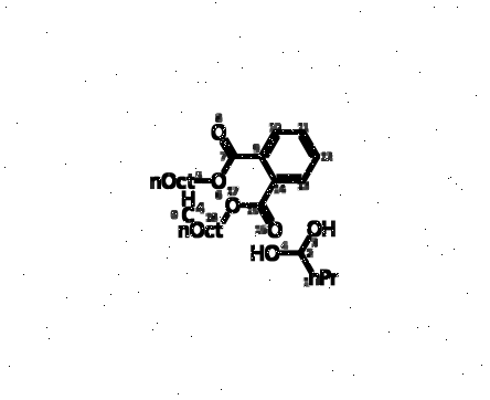 C.CCCC(O)O.CCCCCCCCOC(=O)c1ccccc1C(=O)OCCCCCCCC